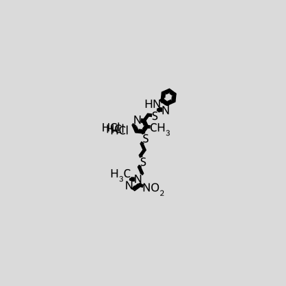 Cc1c(SCCCSCCn2c([N+](=O)[O-])cnc2C)ccnc1CSc1nc2ccccc2[nH]1.Cl.Cl.Cl